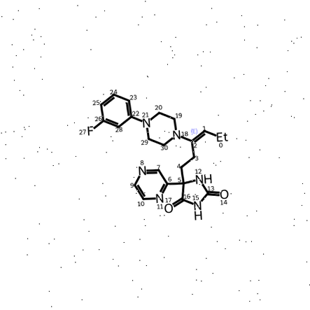 CC/C=C(\CCC1(c2cnccn2)NC(=O)NC1=O)N1CCN(c2cccc(F)c2)CC1